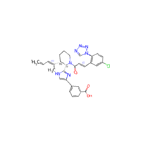 C=C/C=C(\C)[C@@H]1CCCN(C(=O)/C=C/c2cc(Cl)ccc2-n2cnnn2)[C@@H]1c1nc(-c2cccc(C(=O)O)c2)c[nH]1